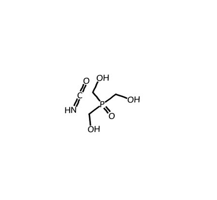 N=C=O.O=P(CO)(CO)CO